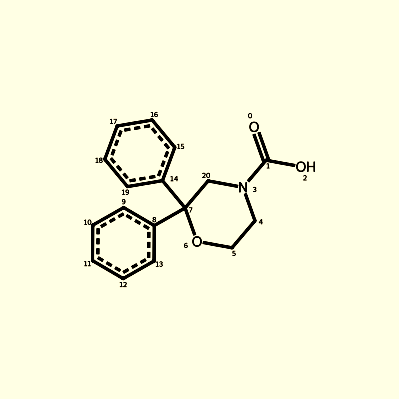 O=C(O)N1CCOC(c2ccccc2)(c2ccccc2)C1